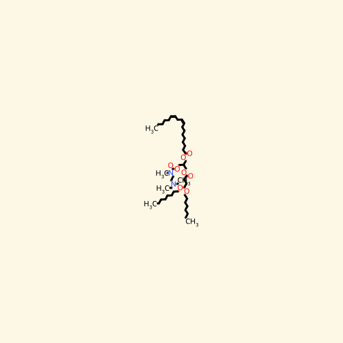 CCCCC/C=C\C/C=C\CCCCCCCC(=O)OCC(COC(=O)CCC(OCCCCCCCC)OCCCCCCCC)COC(=O)N(C)CCN(CC)CC